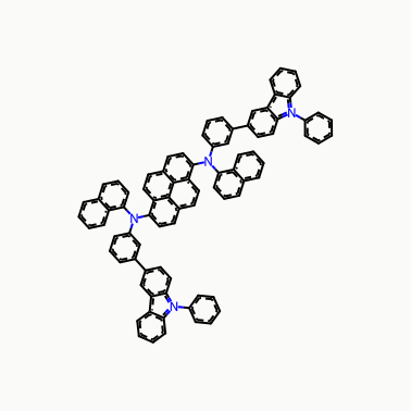 c1ccc(-n2c3ccccc3c3cc(-c4cccc(N(c5cccc6ccccc56)c5ccc6ccc7c(N(c8cccc(-c9ccc%10c(c9)c9ccccc9n%10-c9ccccc9)c8)c8cccc9ccccc89)ccc8ccc5c6c87)c4)ccc32)cc1